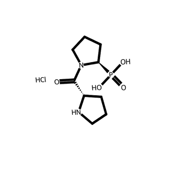 Cl.O=C([C@@H]1CCCN1)N1CCC[C@H]1P(=O)(O)O